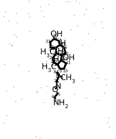 CC(/C=N/OCCN)=C\[C@H]1CC[C@]2(O)[C@@H]3CC[C@@H]4C[C@@H](O)CC[C@]4(C)[C@H]3CC[C@]12C